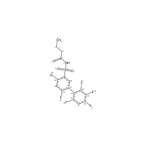 CCCC(=O)NS(=O)(=O)c1cc(-c2c(F)cc(F)c(F)c2F)c(F)cc1Cl